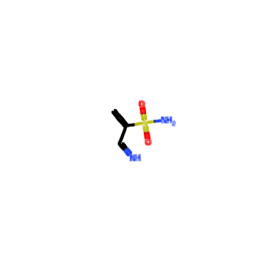 C=C(C=N)S(N)(=O)=O